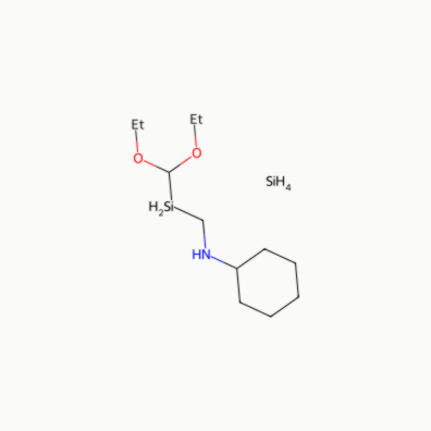 CCOC(OCC)[SiH2]CNC1CCCCC1.[SiH4]